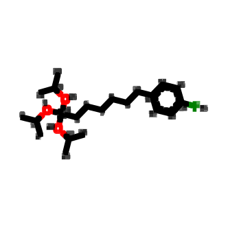 CC(C)O[Si](CCCCCCc1ccc(F)cc1)(OC(C)C)OC(C)C